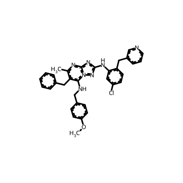 COc1ccc(CNc2c(Cc3ccccc3)c(C)nc3nc(Nc4cc(Cl)ccc4Cc4cccnc4)nn23)cc1